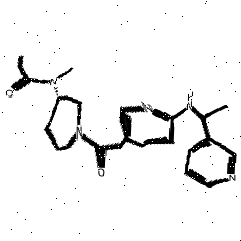 CC(=O)N(C)[C@H]1CCN(C(=O)c2ccc(NC(C)c3cccnc3)nc2)C1